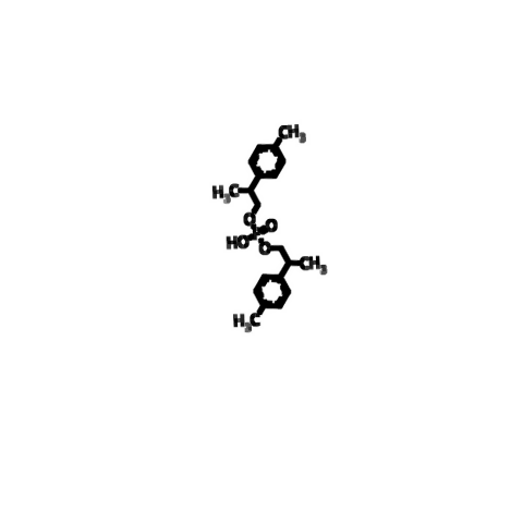 Cc1ccc(C(C)COP(=O)(O)OCC(C)c2ccc(C)cc2)cc1